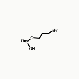 [CH2]CCCCCO[P](=O)O